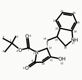 CC(C)(C)OC(=O)N1C(=O)C=C(O)[C@H]1CC1CNc2ccccc21